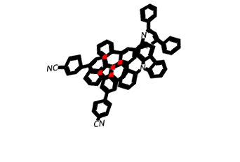 N#Cc1ccc(-c2ccc3c(c2)c2cc(-c4ccc(C#N)cc4)ccc2n3-c2c(-c3ccccc3-n3c4ccccc4c4ccccc43)cc(-c3nc(-c4ccccc4)cc(-c4ccccc4)n3)cc2-c2ccccc2-n2c3ccccc3c3ccccc32)cc1